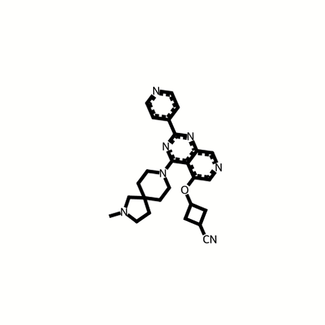 CN1CCC2(CCN(c3nc(-c4ccncc4)nc4cncc(OC5CC(C#N)C5)c34)CC2)C1